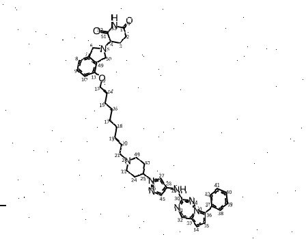 O=C1CCC(N2Cc3cccc(OCCCCCCCCCN4CCC(n5cc(Nc6ncc7ccc(-c8ccccc8)n7n6)cn5)CC4)c3C2)C(=O)N1